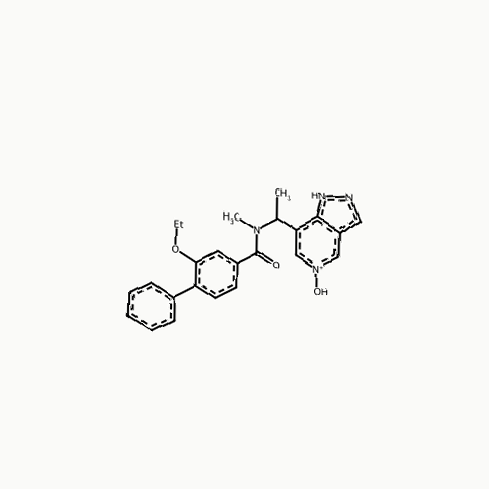 CCOc1cc(C(=O)N(C)C(C)c2c[n+](O)cc3cn[nH]c23)ccc1-c1ccccc1